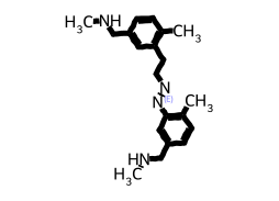 CNCc1ccc(C)c(CC/N=N/c2cc(CNC)ccc2C)c1